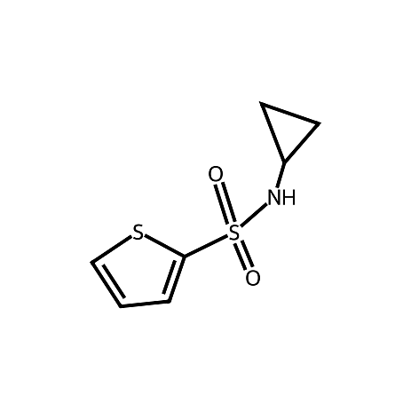 O=S(=O)(NC1CC1)c1cccs1